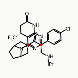 CC(C)NC[C@@H](C(=O)N1CC2CCC(C1)N2c1ncnc2c1[C@H](C(F)(F)F)CC(=O)N2)c1ccc(Cl)cc1